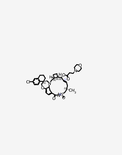 C[C@H]1C/C=C/[C@H](OC(=O)CCN2CCOCC2)[C@@H]2CC[C@H]2CN2C[C@@]3(CCCc4cc(Cl)ccc43)COC3=CC=C(CC32)C(=O)/N=[SH](=O)\C1